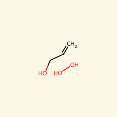 C=CCO.OO